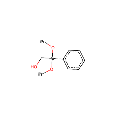 CC(C)O[Si](CO)(OC(C)C)c1ccccc1